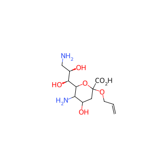 C=CCOC1(C(=O)O)CC(O)C(N)C([C@@H](O)[C@H](O)CN)O1